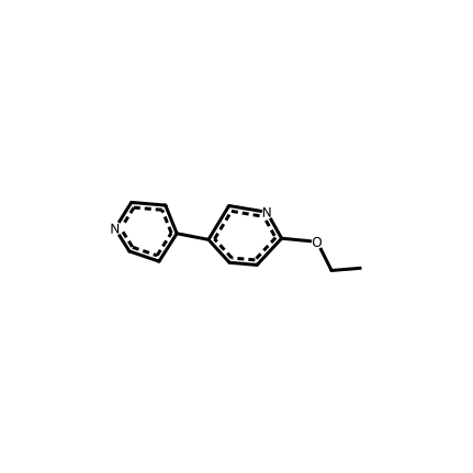 CCOc1ccc(-c2ccncc2)cn1